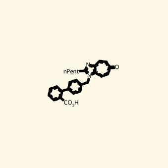 CCCCCc1nc2ccc(=O)ccc2n1Cc1ccc(-c2ccccc2C(=O)O)cc1